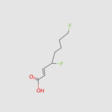 O=C(O)C=CC(F)CCCCF